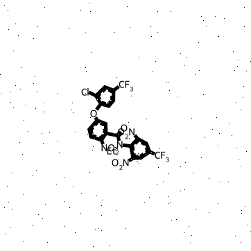 CCN(C(=O)c1cc(Oc2ccc(C(F)(F)F)cc2Cl)ccc1[N+](=O)[O-])c1c([N+](=O)[O-])cc(C(F)(F)F)cc1[N+](=O)[O-]